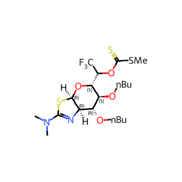 CCCCO[C@@H]1[C@H]2N=C(N(C)C)S[C@H]2O[C@H](C(OC(=S)SC)C(F)(F)F)[C@H]1OCCCC